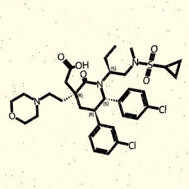 CC[C@@H](CN(C)S(=O)(=O)C1CC1)N1C(=O)[C@](CCN2CCOCC2)(CC(=O)O)C[C@H](c2cccc(Cl)c2)[C@H]1c1ccc(Cl)cc1